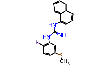 CSc1ccc(I)c(NC(=N)Nc2cccc3ccccc23)c1